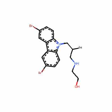 [2H]C(CNCCO)Cn1c2ccc(Br)cc2c2cc(Br)ccc21